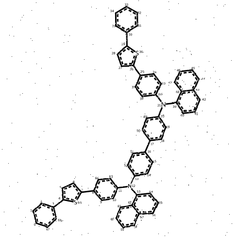 c1ccc(-c2ccc(-c3ccc(N(c4ccc(-c5ccc(N(c6ccc(-c7ccc(-c8ccccc8)s7)cc6)c6cccc7ccccc67)cc5)cc4)c4cccc5ccccc45)cc3)s2)cc1